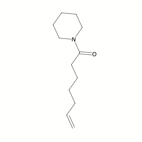 C=CCCCCC(=O)N1CCCCC1